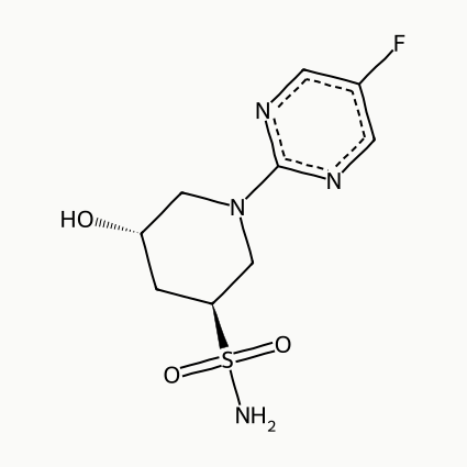 NS(=O)(=O)[C@H]1C[C@H](O)CN(c2ncc(F)cn2)C1